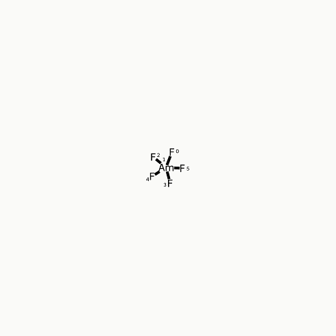 [F][Am]([F])([F])([F])[F]